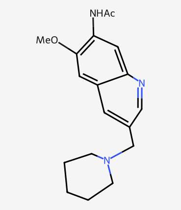 COc1cc2cc(CN3CCCCC3)cnc2cc1NC(C)=O